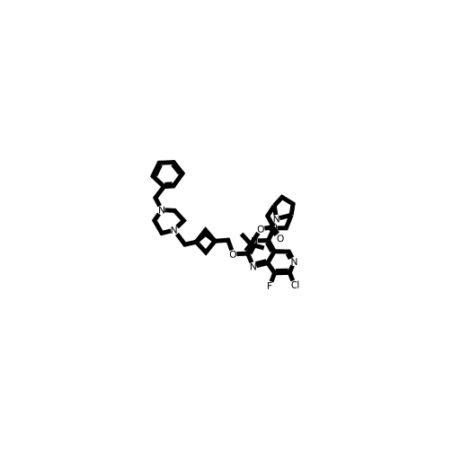 CC(C)(C)OC(=O)N1C2CCC1CN(c1nc(OCC34CC(CN5CCN(Cc6ccccc6)CC5)(C3)C4)nc3c(F)c(Cl)ncc13)C2